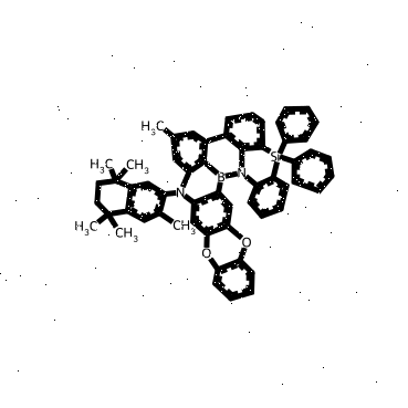 Cc1cc2c3c(c1)N(c1cc4c(cc1C)C(C)(C)CCC4(C)C)c1cc4c(cc1B3N1c3ccccc3[Si](c3ccccc3)(c3ccccc3)c3cccc-2c31)Oc1ccccc1O4